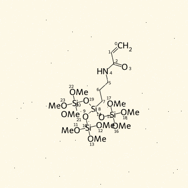 C=CC(=O)NCCC[Si](O[Si](OC)(OC)OC)(O[Si](OC)(OC)OC)O[Si](OC)(OC)OC